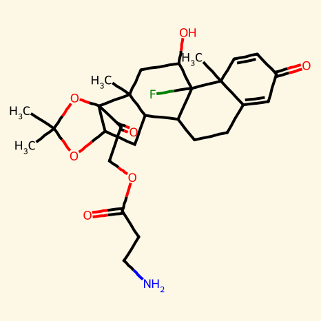 CC1(C)OC2CC3C4CCC5=CC(=O)C=CC5(C)C4(F)C(O)CC3(C)C2(C(=O)COC(=O)CCN)O1